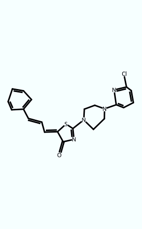 O=C1N=C(N2CCN(c3cccc(Cl)n3)CC2)SC1=CC=Cc1ccccc1